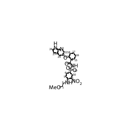 COCCNc1ccc(S(=O)(=O)NC(=O)c2ccccc2Oc2cnc3[nH]ccc3c2)cc1[N+](=O)[O-]